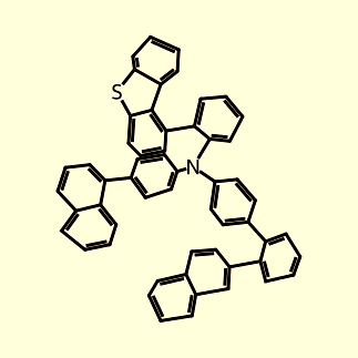 c1ccc(-c2ccc3ccccc3c2)c(-c2ccc(N(c3ccc(-c4cccc5ccccc45)cc3)c3ccccc3-c3cccc4sc5ccccc5c34)cc2)c1